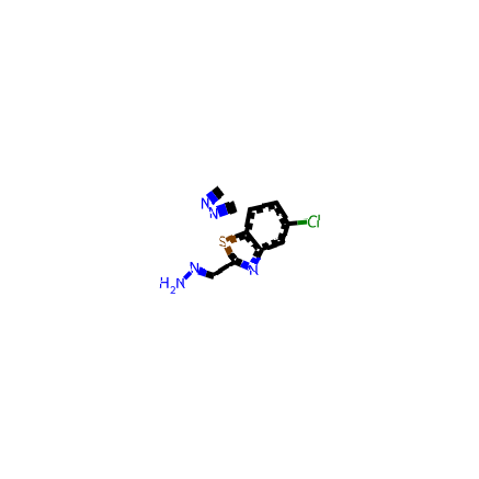 C#N.C#N.NN=Cc1nc2cc(Cl)ccc2s1